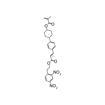 C=C(C)C(=O)OC1CCC(c2ccc(/C=C/C(=O)OCCc3ccc([N+](=O)[O-])cc3[N+](=O)[O-])cc2)CC1